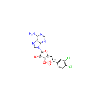 Nc1ncnc2c1ncn2[C@@H]1O[C@@H](C[C@@H](O)c2ccc(Cl)c(Cl)c2)[C@@H](O)[C@H]1O